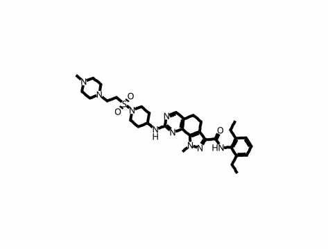 CCc1cccc(CC)c1NC(=O)c1nn(C)c2c1CCc1cnc(NC3CCN(S(=O)(=O)CCN4CCN(C)CC4)CC3)nc1-2